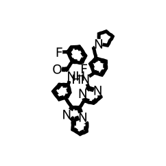 O=C(Nc1cccc(-c2nc3ccccn3c2-c2ccnc(Nc3cccc(CN4CCCC4)c3)n2)c1)c1c(F)cccc1F